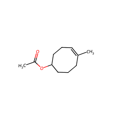 CC(=O)OC1CCC=C(C)CCC1